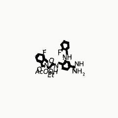 CCO[C@](OC(C)=O)(C(=O)NCc1ccc(C(=N)N)cc1NCc1ccccc1F)N1Cc2c(F)cccc2C1=O